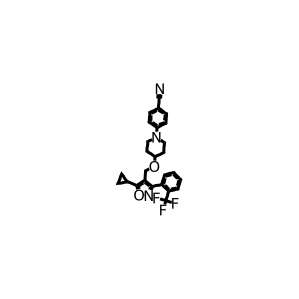 N#Cc1ccc(N2CCC(OCc3c(-c4ccccc4C(F)(F)F)noc3C3CC3)CC2)cc1